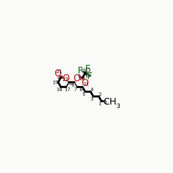 CCCCCCCC[C@H](OC(=O)C(F)(F)F)[C@H]1CCCC(=O)O1